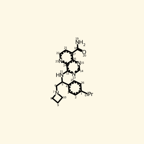 CC(C)c1ccc(C(CN2CCC2)Nc2ncnc3c(C(N)=O)ccnc23)cc1